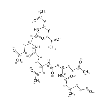 CC(=O)CCC(CC(C)=O)NC(=O)CC(CCC(C)=O)NC(=O)CCC(CC(C)=O)NC(=O)CC(CCC(C)=O)NC(=O)CC(C)CCC=O